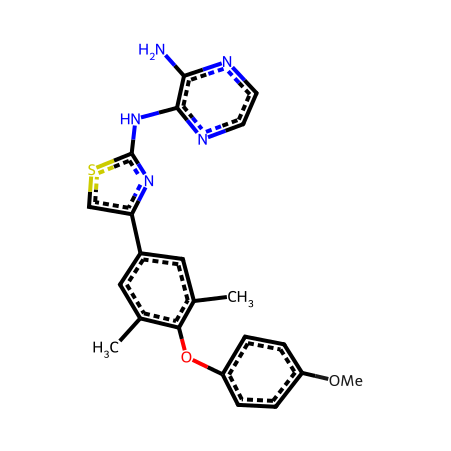 COc1ccc(Oc2c(C)cc(-c3csc(Nc4nccnc4N)n3)cc2C)cc1